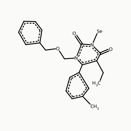 CCc1c(-c2cccc(C)c2)n(COCc2ccccc2)c(=O)n([Se])c1=O